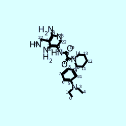 CCN(CC)c1cccc([C@H]2CCCCN2C(=O)C(=O)Nc2cnc(N)c(C=N)c2N)c1